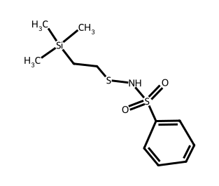 C[Si](C)(C)CCSNS(=O)(=O)c1ccccc1